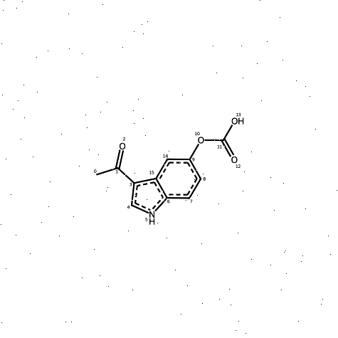 CC(=O)c1c[nH]c2ccc(OC(=O)O)cc12